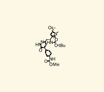 COC(=O)Nc1ccc(-c2cc(C[C@H](NC(=O)OC(C)(C)C)c3cc([S+](C)[O-])n(C)n3)n[nH]c2=O)cc1